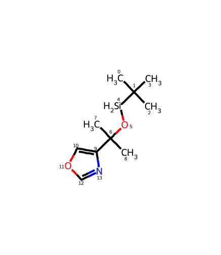 CC(C)(C)[SiH2]OC(C)(C)c1cocn1